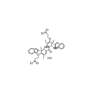 CCCCC1C(C(=O)C2=CC(I)=C(OCCN(CC)CC)C(I)(c3cc4ccccc4o3)C2CCCC)=CC(I)=C(OCCN(CC)CC)C1(I)c1cc2ccccc2o1.Cl